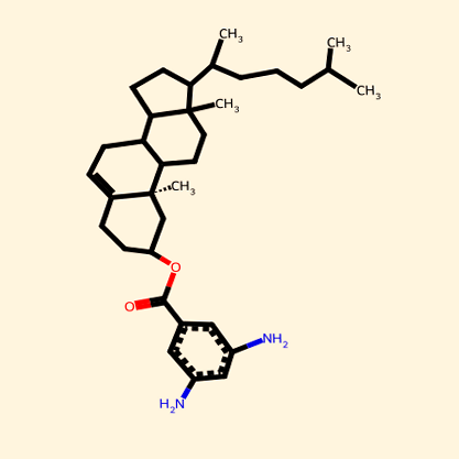 CC(C)CCCC(C)C1CCC2C3CC=C4CCC(OC(=O)c5cc(N)cc(N)c5)C[C@]4(C)C3CCC12C